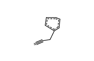 N#CCc1cc[c]cc1